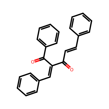 O=C(C=Cc1ccccc1)C(=Cc1ccccc1)C(=O)c1ccccc1